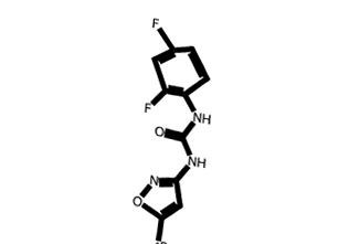 CC(C)(C)c1cc(NC(=O)Nc2ccc(F)cc2F)no1